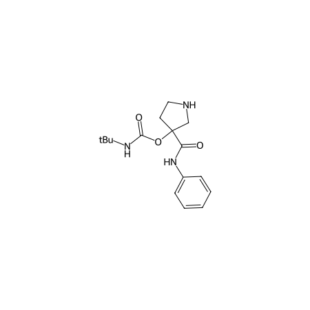 CC(C)(C)NC(=O)OC1(C(=O)Nc2ccccc2)CCNC1